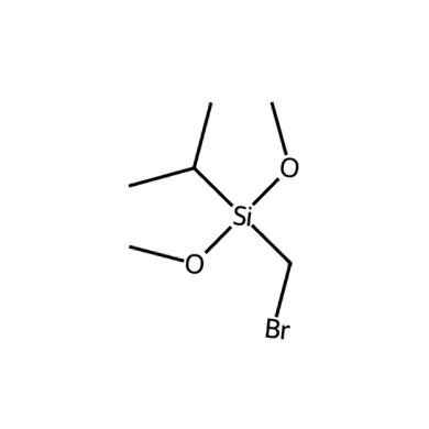 CO[Si](CBr)(OC)C(C)C